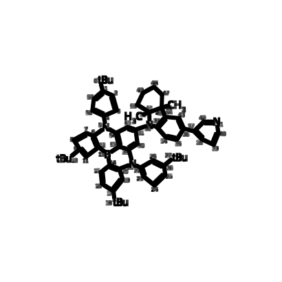 CC(C)(C)c1ccc(N2c3ccc(C(C)(C)C)cc3B3c4ccc(C(C)(C)C)cc4N(c4cccc(C(C)(C)C)c4)c4cc(N5c6ccc(-c7cccnc7)cc6C6(C)CCCCC56C)cc2c43)cc1